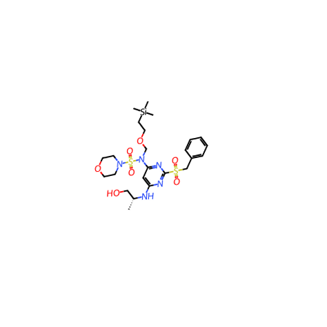 C[C@H](CO)Nc1cc(N(COCC[Si](C)(C)C)S(=O)(=O)N2CCOCC2)nc(S(=O)(=O)Cc2ccccc2)n1